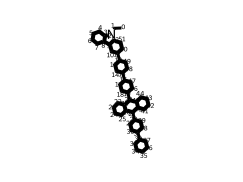 CCn1c2ccccc2c2cc(-c3ccc(-c4ccc(-c5c6ccccc6c(-c6ccc(-c7ccccc7)cc6)c6ccccc56)cc4)cc3)ccc21